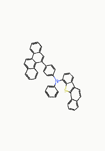 c1ccc(N(c2ccc(-c3cc4ccccc4c4ccc5ccccc5c34)cc2)c2cccc3c2sc2c4ccccc4ccc32)cc1